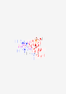 CN[C@@H]1[C@H](O[C@H]2[C@H](O[C@H]3[C@H](O)[C@@H](O)[C@H](NC(=N)N)[C@@H](O)[C@@H]3NC(=N)N)O[C@@H](C)[C@]2(O)C=O)O[C@@H](CO)[C@H](O)[C@H]1O.O=S(=O)(O)O.[NaH]